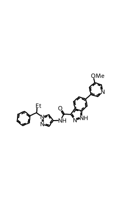 CCC(c1ccccc1)n1cc(NC(=O)c2n[nH]c3cc(-c4cncc(OC)c4)ccc23)cn1